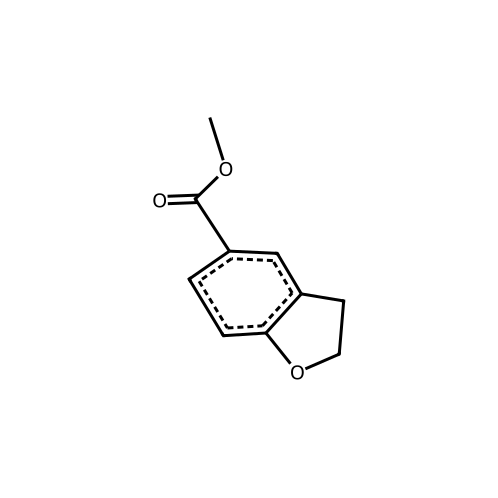 COC(=O)c1ccc2c(c1)CCO2